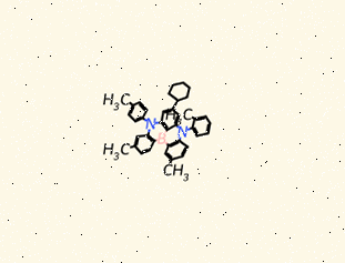 Cc1ccc(N2c3cc(C)ccc3B3c4cc(C)ccc4N(c4ccccc4C)c4cc(C5CCCCC5)cc2c43)cc1